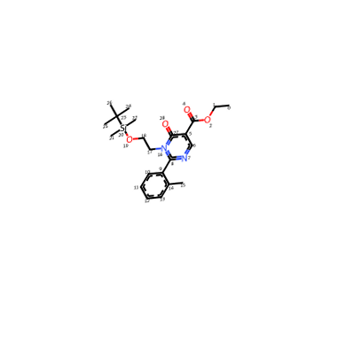 CCOC(=O)c1cnc(-c2ccccc2C)n(CCO[Si](C)(C)C(C)(C)C)c1=O